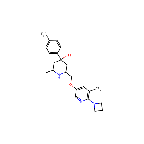 CC1CC(O)(c2ccc(C(F)(F)F)cc2)CC(COc2cnc(N3CCC3)c(C(F)(F)F)c2)N1